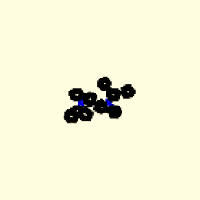 C1=Cc2c(n(-c3cc4ccccc4c4ccccc34)c3cc(-c4ccc5c6ccccc6n(-c6cc(-c7ccccc7)cc(-c7ccccc7)c6)c5c4)ccc23)CC1